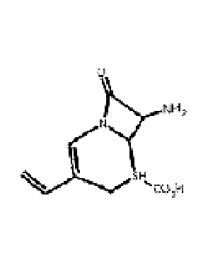 C=CC1=CN2C(=O)C(N)C2[SH](C(=O)O)C1